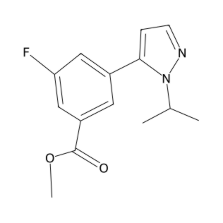 COC(=O)c1cc(F)cc(-c2ccnn2C(C)C)c1